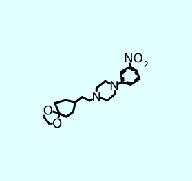 O=[N+]([O-])c1cccc(N2CCN(CCC3CCC4(CC3)OCCO4)CC2)c1